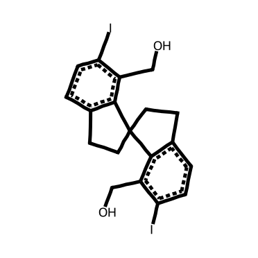 OCc1c(I)ccc2c1C1(CC2)CCc2ccc(I)c(CO)c21